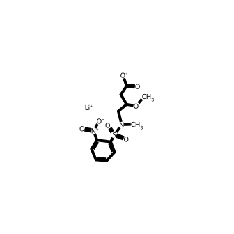 COC(CC(=O)[O-])CN(C)S(=O)(=O)c1ccccc1[N+](=O)[O-].[Li+]